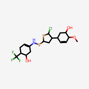 COC1C=CC(C2CC(SNC3=CCC(C(F)(F)F)C(O)C3)SC2Cl)CC1O